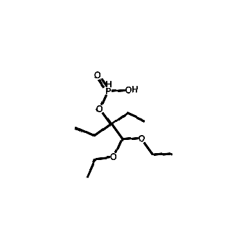 CCOC(OCC)C(CC)(CC)O[PH](=O)O